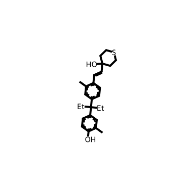 CCC(CC)(c1ccc(O)c(C)c1)c1ccc(C=CC2(O)CCSCC2)c(C)c1